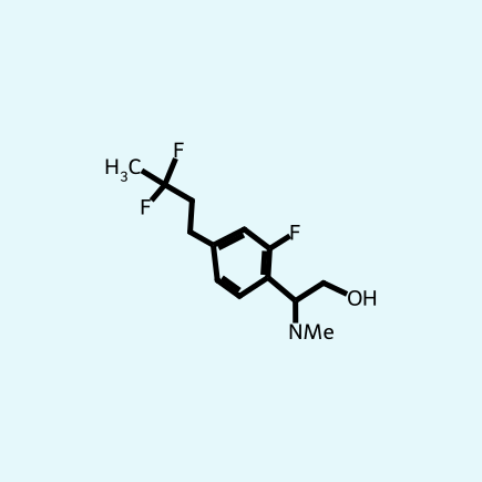 CNC(CO)c1ccc(CCC(C)(F)F)cc1F